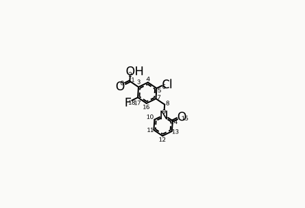 O=C(O)c1cc(Cl)c(Cn2ccccc2=O)cc1F